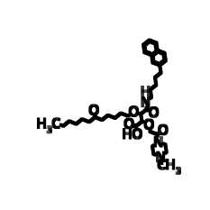 CCCCCCC(=O)CCCCCOC(C(=O)NCCCCCc1ccc2ccccc2c1)C(OCC(=O)N1CCN(C)CC1)C(=O)O